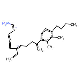 C=C/C(C=C=C/C=C\N)=C\CCC(=C)c1ccc(CCCC)c(C)c1C